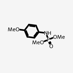 COc1ccc(NP(=O)(OC)OC)cc1